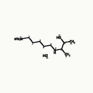 CCCCCCCCCCCCNC(C)C(C)O.Cl